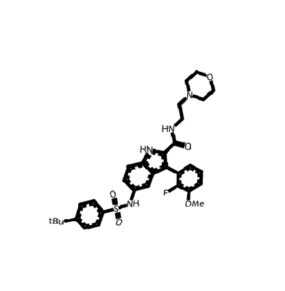 COc1cccc(-c2c(C(=O)NCCN3CCOCC3)[nH]c3ccc(NS(=O)(=O)c4ccc(C(C)(C)C)cc4)cc23)c1F